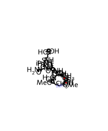 COc1cc2cc(c1Cl)N(C)CC[C@H](OC(=O)Nc1cc(F)c(NC(=O)[C@H](CCCNC(N)=O)NC(=O)[C@@H](NC(=S)NCCCCN3C(O)C=CC3O)C(C)C)cc1F)[C@]1(C)O[C@H]1[C@H](C)[C@@H]1C[C@@](O)(NC(=O)O1)[C@H](OC)/C=C/C=C(\C)C2